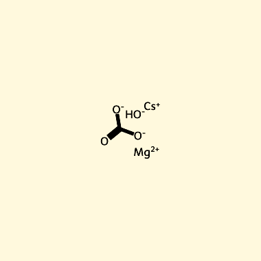 O=C([O-])[O-].[Cs+].[Mg+2].[OH-]